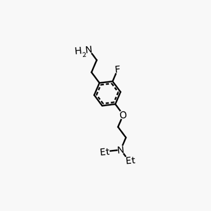 CCN(CC)CCOc1ccc(CCN)c(F)c1